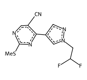 CSc1ncc(C#N)c(-c2cnn(CC(F)F)c2)n1